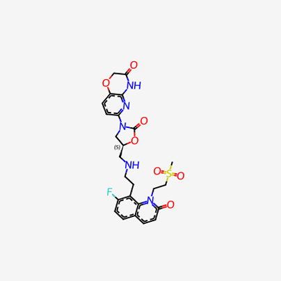 CS(=O)(=O)CCn1c(=O)ccc2ccc(F)c(CCNC[C@H]3CN(c4ccc5c(n4)NC(=O)CO5)C(=O)O3)c21